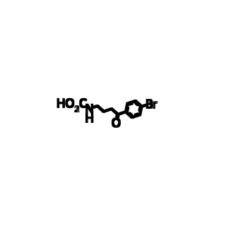 O=C(O)NCCCC(=O)c1ccc(Br)cc1